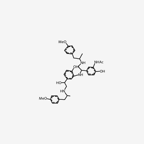 COc1ccc(CC(C)NCC(O)c2ccc(O)c(NC(CNC(C)Cc3ccc(OC)cc3)c3ccc(O)c(NC(C)=O)c3)c2)cc1